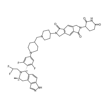 C[C@@H]1Cc2c(ccc3[nH]ncc23)[C@@H](c2c(F)cc(N3CCC(CN4CCC(N5Cc6cc7c(cc6C5=O)CN(C5CCC(=O)NC5=O)C7=O)CC4)CC3)cc2F)N1CC(F)F